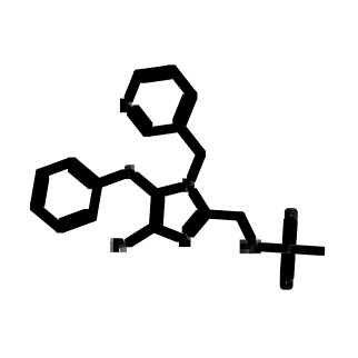 CC(C)c1nc(CNS(C)(=O)=O)n(Cc2cccnc2)c1Sc1ccccc1